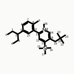 CCC(CC)c1ccc(C)c(-c2cc([Si](C)(C)C)c(CC(C)(C)C)c[n+]2C)c1